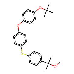 COC(C)(C)c1ccc(Sc2ccc(Oc3ccc(OC(C)(C)C)cc3)cc2)cc1